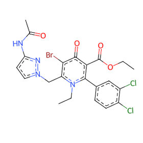 CCOC(=O)c1c(-c2ccc(Cl)c(Cl)c2)n(CC)c(Cn2ccc(NC(C)=O)n2)c(Br)c1=O